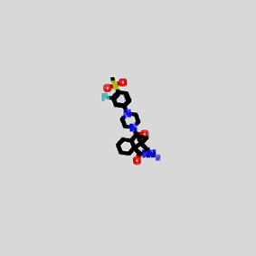 CS(=O)(=O)c1ccc(N2CCN(C(=O)C3CCCCC3(C(N)=O)C3(C#N)CC3)CC2)cc1F